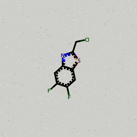 Fc1cc2nc(CCl)sc2cc1F